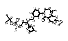 CSc1ncc2c(n1)N(C)CCN(c1cccc(CO[C@H](CCN(C)C(=O)OC(C)(C)C)c3cccs3)c1)C2=O